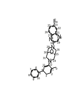 CC1=CCC(c2ccccc2)[C]=C1N1CC2CN(c3cnc4cc(F)ccc4n3)CC(C1)O2